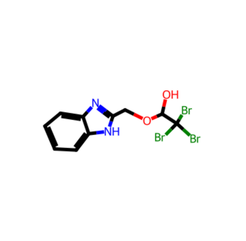 OC(OCc1nc2ccccc2[nH]1)C(Br)(Br)Br